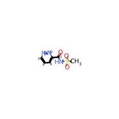 CS(=O)(=O)NC(=O)c1cccnn1